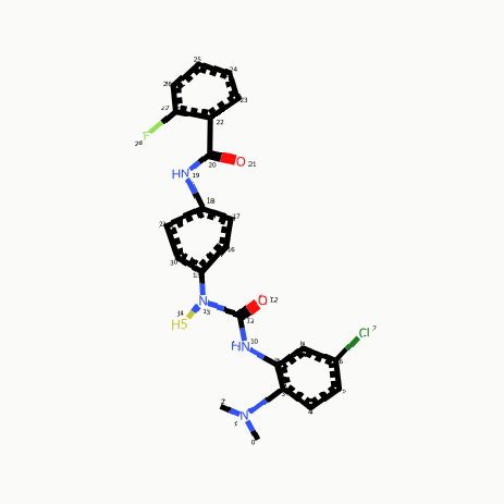 CN(C)c1ccc(Cl)cc1NC(=O)N(S)c1ccc(NC(=O)c2ccccc2F)cc1